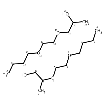 CCCCOCCOC(C)CO.CCCCOCCOCC(C)O